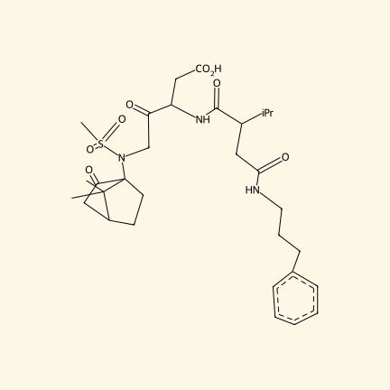 CC(C)C(CC(=O)NCCCc1ccccc1)C(=O)NC(CC(=O)O)C(=O)CN(C12CCC(CC1=O)C2(C)C)S(C)(=O)=O